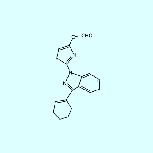 O=COc1csc(-n2nc(C3=CCCCC3)c3ccccc32)n1